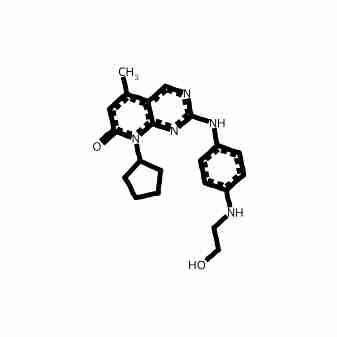 Cc1cc(=O)n(C2CCCC2)c2nc(Nc3ccc(NCCO)cc3)ncc12